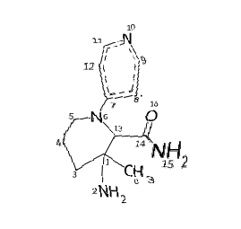 CC1(N)CCCN(c2[c]cncc2)C1C(N)=O